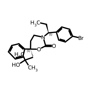 CC[C@@H](c1ccc(Br)cc1)N1CC[C@](CC(C)(C)O)(c2ccccc2)OC1=O